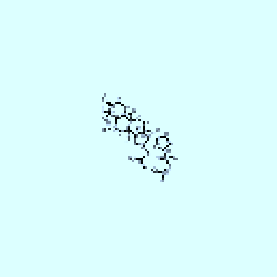 CC(=O)O[C@H]1C[C@@]2(C)[C@@H]3C[C@H](O)[C@H]4C(C)(C)C(=O)CC[C@@]45C[C@@]35CC[C@]2(C)[C@H]1[C@@]1(C)CC[C@@H](C(C)(C)OC(C)=O)O1